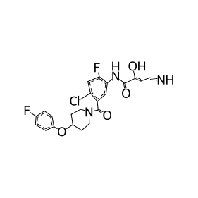 N=C/C=C(\O)C(=O)Nc1cc(C(=O)N2CCC(Oc3ccc(F)cc3)CC2)c(Cl)cc1F